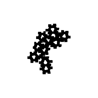 c1ccc(-c2ccc(-c3ccccc3N(c3ccc(-c4ccc(-c5ccccc5-n5c6ccccc6c6ccccc65)cc4)cc3)c3ccc4ccccc4c3)cc2)cc1